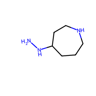 NNC1CCCNCC1